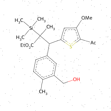 CCOC(=O)C(C)(C(c1ccc(C)c(CO)c1)c1cc(OC)c(C(C)=O)s1)[Si](C)(C)C